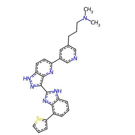 CN(C)CCCc1cncc(-c2ccc3[nH]nc(-c4nc5c(-c6cccs6)cccc5[nH]4)c3n2)c1